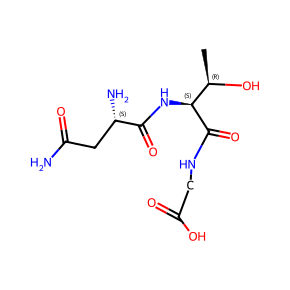 C[C@@H](O)[C@H](NC(=O)[C@@H](N)CC(N)=O)C(=O)NCC(=O)O